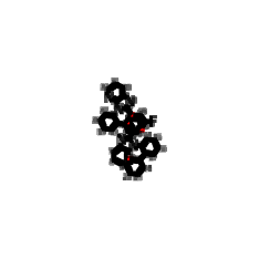 Fc1cc(-c2nc3cccnc3n2-c2ccccc2-c2ccccc2)cc(-c2nc3cccnc3n2-c2ccccc2-c2ccccc2)c1